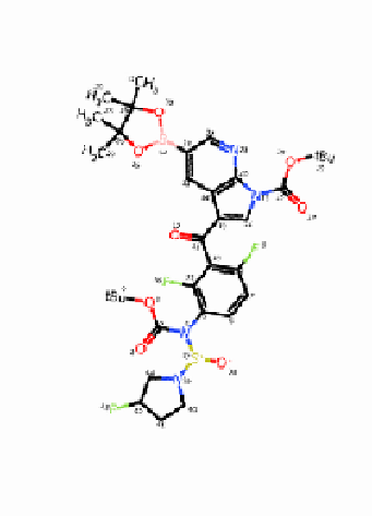 CC(C)(C)OC(=O)N(c1ccc(F)c(C(=O)c2cn(C(=O)OC(C)(C)C)c3ncc(B4OC(C)(C)C(C)(C)O4)cc23)c1F)[S+]([O-])N1CCC(F)C1